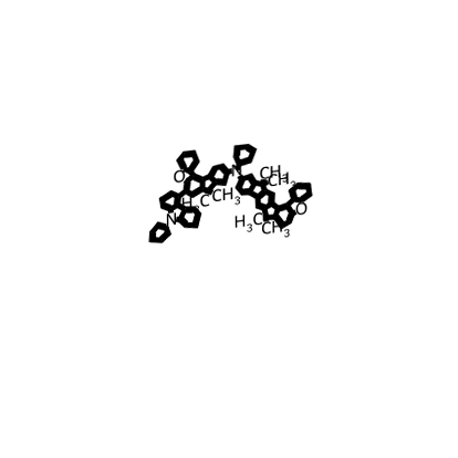 CC1(C)c2cc(N(c3ccccc3)c3ccc4c(c3)C(C)(C)c3cc(-c5cccc6c5c5ccccc5n6-c5ccccc5)c5oc6ccccc6c5c3-4)ccc2-c2cc3c(cc21)-c1c(ccc2oc4ccccc4c12)C3(C)C